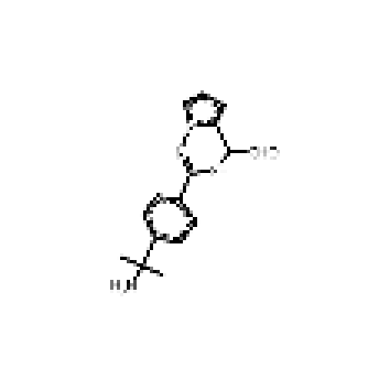 CC(C)(N)c1ccc(C2=Nn3cccc3C(C=O)N2)cc1